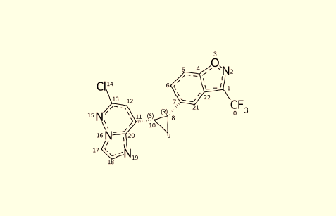 FC(F)(F)c1noc2ccc([C@@H]3C[C@@H]3c3cc(Cl)nn4ccnc34)cc12